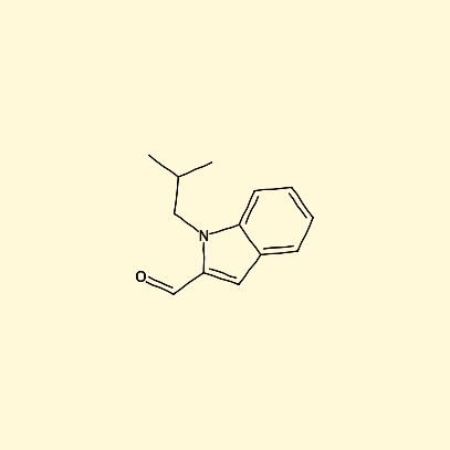 CC(C)Cn1c(C=O)cc2ccccc21